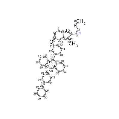 C=C/C=C\c1oc2ccc3oc4cc(-c5c6ccccc6c(-c6ccc(-c7ccccc7)cc6)c6ccccc56)ccc4c3c2c1C